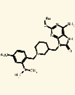 CCCCOc1nc(N)c2[nH]c(=O)n(CC3CCCN(Cc4ccc(OC(C)=O)cc4N(C)C)C3)c2n1